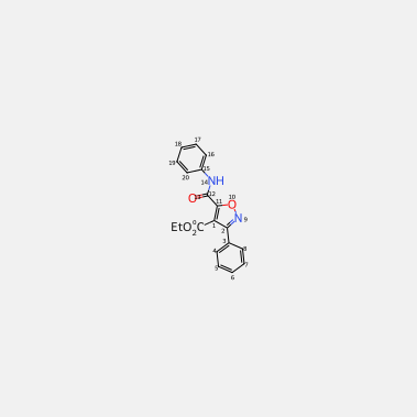 CCOC(=O)c1c(-c2ccccc2)noc1C(=O)Nc1ccccc1